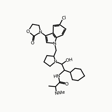 CNC(C)C(=O)NC(C1CCCCC1)C(O)N1CCCC1Cn1cc(N2CCOC2=O)c2cc(Cl)ccc21